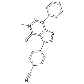 Cn1nc(-c2ccncc2)c2scc(-c3ccc(C#N)cc3)c2c1=O